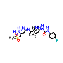 C=C(/C=C\C(=C/N)C(=C)/N=C(N)\C=C(/N)CS(C)(=O)=O)NC(=O)Nc1ccc(F)cc1